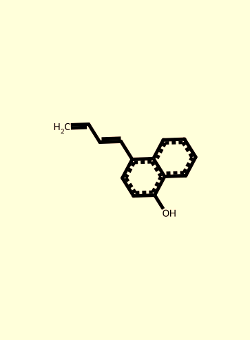 C=C/C=C/c1ccc(O)c2ccccc12